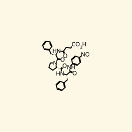 O=Nc1ccc(NC(=O)[C@H](Cc2ccccc2)NC(=O)[C@@H]2CCCN2C(=O)[C@H](Cc2ccccc2)NC(=O)CCC(=O)O)cc1